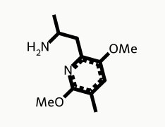 COc1cc(C)c(OC)nc1CC(C)N